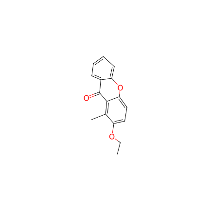 CCOc1ccc2oc3ccccc3c(=O)c2c1C